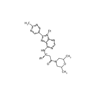 CCn1c(-c2cnc(C)nc2)nc2c(N[C@@H](CC(=O)N3CC(C)OC(C)C3)C(C)C)ncnc21